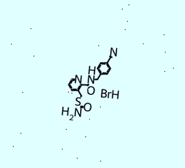 Br.N#Cc1ccc(CNC(=O)c2ncccc2CSC(N)=O)cc1